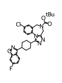 CC(C)(C)OC(=O)N1Cc2cc(Cl)ccc2-n2c(nnc2C2CCC(c3noc4cc(F)ccc34)CC2)C1